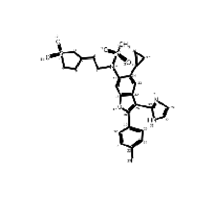 CS(=O)(=O)N(CCC1CCS(=O)(=O)C1)c1cc2oc(-c3ccc(F)cc3)c(-c3ncc[nH]3)c2cc1C1CC1